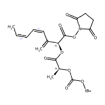 C=C(/C=C\C=C/C)[C@H](OC(=O)[C@H](C)OC(=O)OC(C)(C)C)C(=O)ON1C(=O)CCC1=O